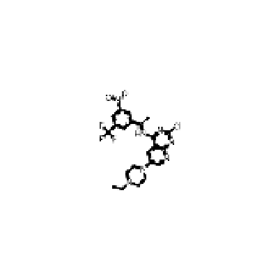 CCN1CCN(c2cnc3nc(Cl)nc(N[C@H](C)c4cc([N+](=O)[O-])cc(C(F)(F)F)c4)c3c2)CC1